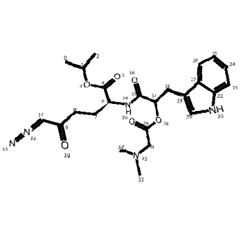 CC(C)OC(=O)[C@H](CCC(=O)C=[N+]=[N-])NC(=O)C(Cc1c[nH]c2ccccc12)OC(=O)CN(C)C